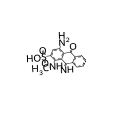 CNc1c(S(=O)(=O)O)cc(N)c2c1C(=N)c1ccccc1C2=O